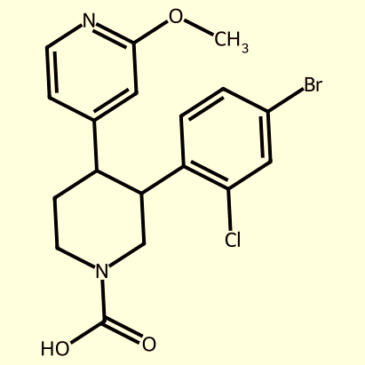 COc1cc(C2CCN(C(=O)O)CC2c2ccc(Br)cc2Cl)ccn1